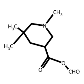 CN1CC(C(=O)OC=O)CC(C)(C)C1